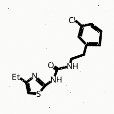 CCc1csc(NC(=O)NCCc2cccc(Cl)c2)n1